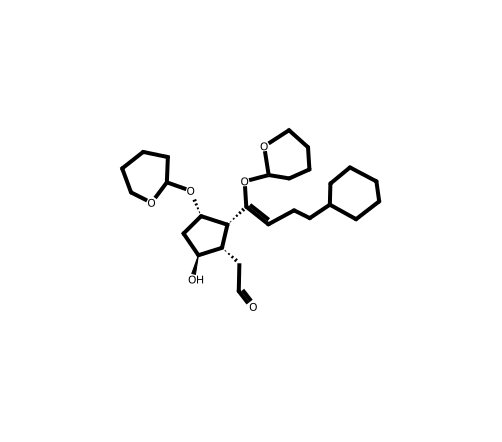 O=CC[C@H]1[C@@H](C(=CCCC2CCCCC2)OC2CCCCO2)[C@@H](OC2CCCCO2)C[C@@H]1O